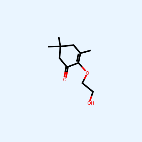 CC1=C(OCCO)C(=O)CC(C)(C)C1